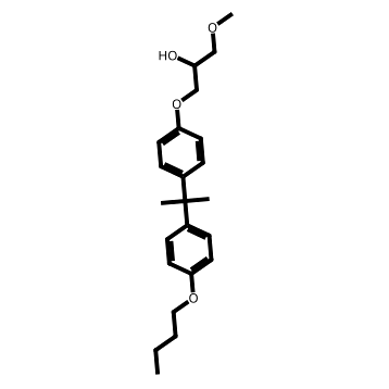 CCCCOc1ccc(C(C)(C)c2ccc(OCC(O)COC)cc2)cc1